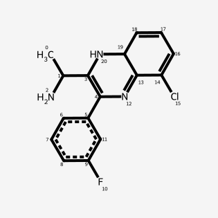 CC(N)C1=C(c2cccc(F)c2)N=C2C(Cl)=CC=CC2N1